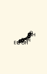 CCOc1ccc(CN(CCO)CC(O)COc2ccc3[nH]c(=O)ccc3c2)cc1